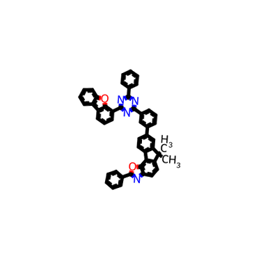 CC1(C)c2cc(-c3cccc(-c4nc(-c5ccccc5)nc(-c5cccc6c5oc5ccccc56)n4)c3)ccc2-c2c1ccc1nc(-c3ccccc3)oc21